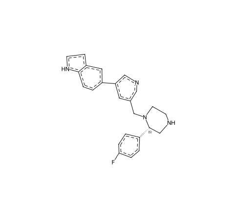 Fc1ccc([C@H]2CNCCN2Cc2cncc(-c3ccc4[nH]ccc4c3)c2)cc1